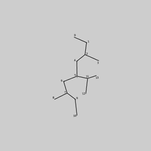 CCC(C)C[C](CC(C)CC)C(C)C